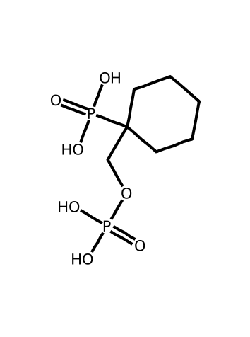 O=P(O)(O)OCC1(P(=O)(O)O)CCCCC1